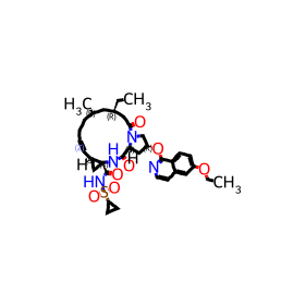 CCOc1ccc2c(O[C@@H]3C[C@H]4C(=O)N[C@]5(C(=O)NS(=O)(=O)C6CC6)C[C@H]5/C=C\CC[C@@H](C)C[C@@H](CC)CC(=O)N4C3)nccc2c1